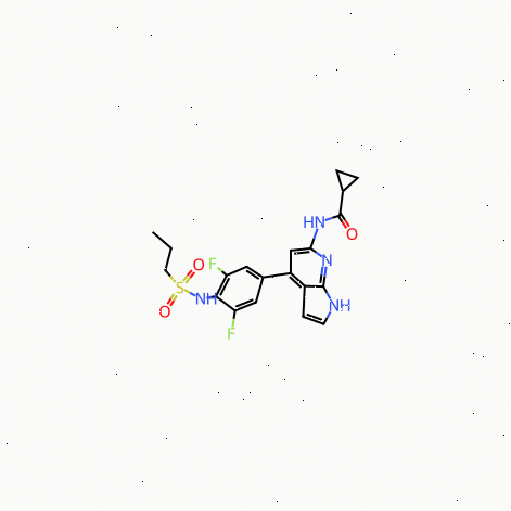 CCCS(=O)(=O)Nc1c(F)cc(-c2cc(NC(=O)C3CC3)nc3[nH]ccc23)cc1F